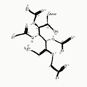 C/C=C(/OCC(=O)CC)[C@@H](OC(=O)CC)[C@H](OC(=O)CC)[C@@H](OC(=O)CC)[C@H](O)OC